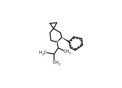 CC(C)C(C)N1CCC2(CC2)C[C@H]1c1ccccc1